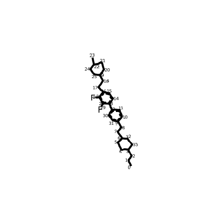 CCCC1CCC(CCc2ccc(-c3ccc(CCC4CCC(C)CC4)c(F)c3F)cc2)CC1